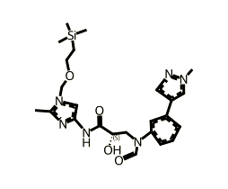 Cc1nc(NC(=O)[C@@H](O)CN(C=O)c2cccc(-c3cnn(C)c3)c2)cn1COCC[Si](C)(C)C